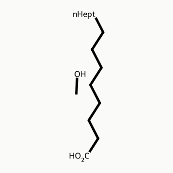 CCCCCCCCCCCCCCC(=O)O.CO